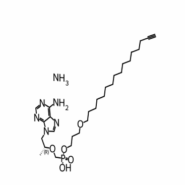 C#CCCCCCCCCCCCCCCOCCCOP(=O)(O)CO[C@H](C)Cn1cnc2c(N)ncnc21.N